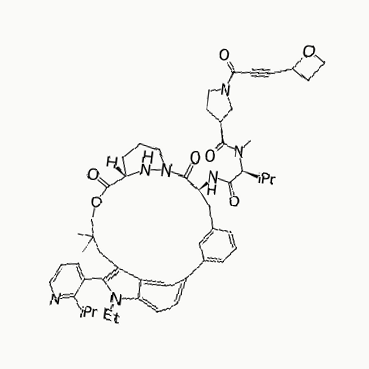 CCn1c(-c2cccnc2C(C)C)c2c3cc(ccc31)-c1cccc(c1)C[C@H](NC(=O)[C@H](C(C)C)N(C)C(=O)[C@H]1CCN(C(=O)C#CC3CCO3)C1)C(=O)N1CCC[C@H](N1)C(=O)OCC(C)(C)C2